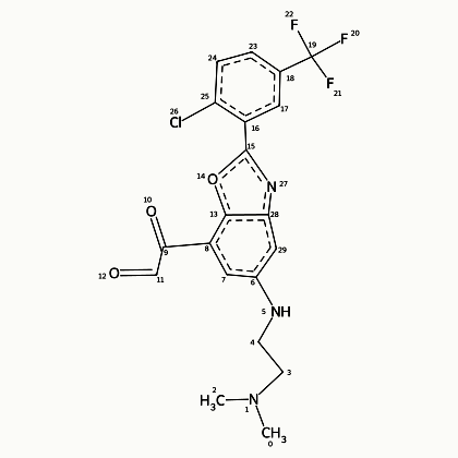 CN(C)CCNc1cc(C(=O)C=O)c2oc(-c3cc(C(F)(F)F)ccc3Cl)nc2c1